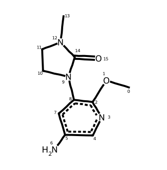 COc1ncc(N)cc1N1CCN(C)C1=O